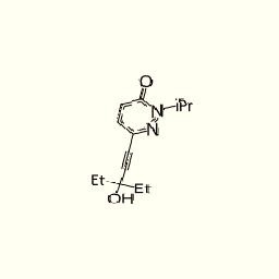 CCC(O)(C#Cc1ccc(=O)n(C(C)C)n1)CC